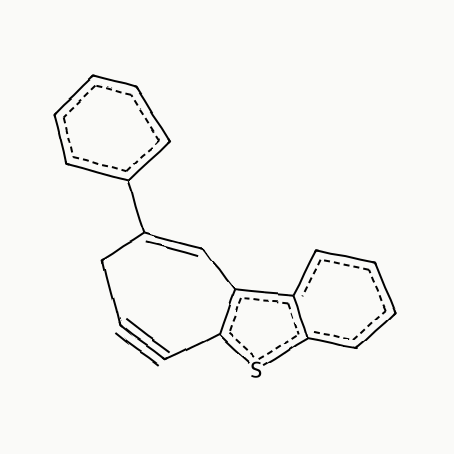 C1#Cc2sc3ccccc3c2C=C(c2ccccc2)C1